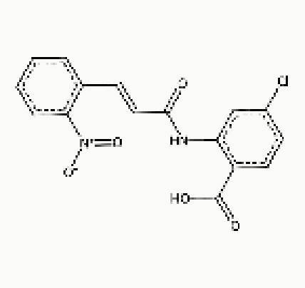 O=C(/C=C/c1ccccc1[N+](=O)[O-])Nc1cc(Cl)ccc1C(=O)O